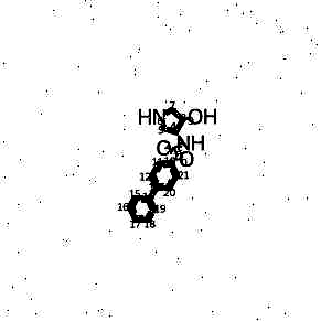 O=S(=O)(N[C@@H]1CNC[C@H]1O)c1ccc(-c2ccccc2)cc1